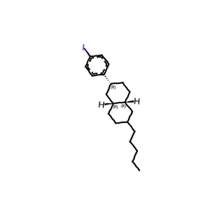 CCCCCC1CC[C@@H]2C[C@H](c3ccc(I)cc3)CC[C@@H]2C1